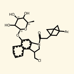 CC(=O)C12CC3(CC(=O)N4CC(CCl)c5c4cc(O[C@@H]4O[C@H](C)C(O)[C@H](O)C4O)c4ccccc54)CC31C2